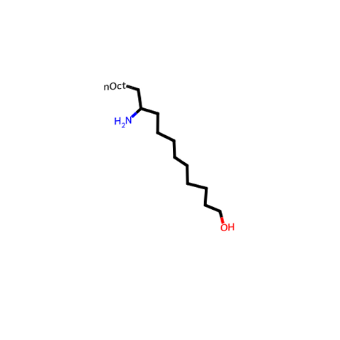 CCCCCCCCCC(N)CCCCCCCCCO